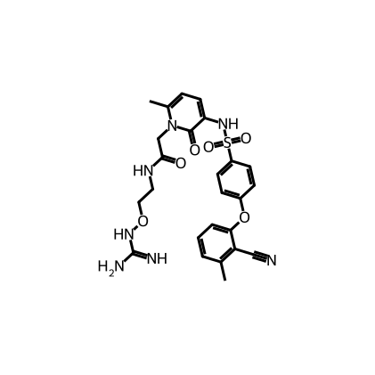 Cc1cccc(Oc2ccc(S(=O)(=O)Nc3ccc(C)n(CC(=O)NCCONC(=N)N)c3=O)cc2)c1C#N